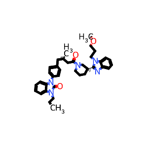 CCCn1c(=O)n(-c2ccc(C[C@@H](C)CC(=O)N3CCC[C@@H](c4nc5ccccc5n4CCCOC)C3)cc2)c2ccccc21